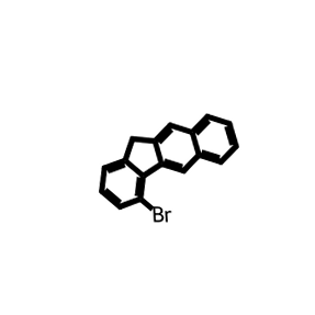 Brc1cccc2c1-c1cc3ccccc3cc1C2